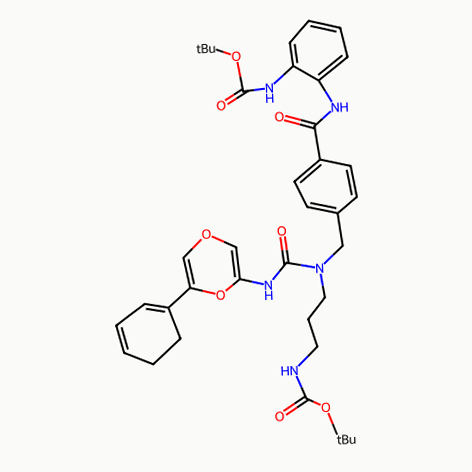 CC(C)(C)OC(=O)NCCCN(Cc1ccc(C(=O)Nc2ccccc2NC(=O)OC(C)(C)C)cc1)C(=O)NC1=COC=C(C2=CC=CCC2)O1